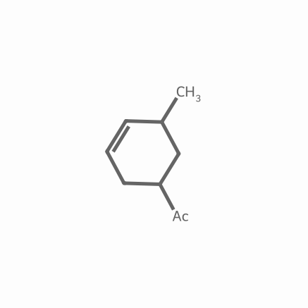 CC(=O)C1CC=CC(C)C1